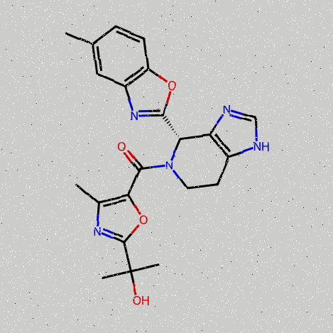 Cc1ccc2oc([C@@H]3c4nc[nH]c4CCN3C(=O)c3oc(C(C)(C)O)nc3C)nc2c1